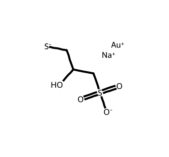 O=S(=O)([O-])CC(O)C[S-].[Au+].[Na+]